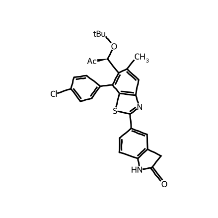 CC(=O)[C@@H](OC(C)(C)C)c1c(C)cc2nc(-c3ccc4c(c3)CC(=O)N4)sc2c1-c1ccc(Cl)cc1